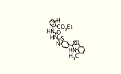 CCOC(=O)C1C(NC(=O)Nc2nc3ccc(C(=O)Nc4c(C)cccc4Cl)cc3s2)C2C=C[C@H]1C2